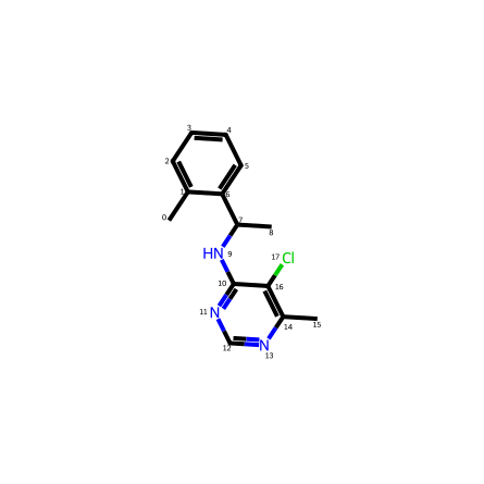 Cc1ccccc1C(C)Nc1ncnc(C)c1Cl